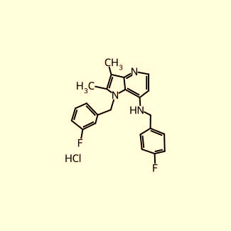 Cc1c(C)n(Cc2cccc(F)c2)c2c(NCc3ccc(F)cc3)ccnc12.Cl